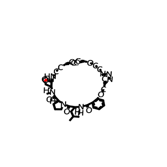 CC(C)C[C@H]1NC(=O)c2ccccc2OCc2cn(nn2)CCOc2ccc(cc2)CCNC(=O)[C@H](CO)N(C)C(=O)[C@H]2CCCN2C1=O